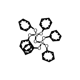 c1ccc(O[Si](Oc2ccccc2)(Oc2ccccc2)O[Si](Oc2ccccc2)(Oc2ccccc2)Oc2ccccc2)cc1